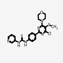 CSc1c(Cl)nc(-c2ccc(NC(=S)Nc3cccnc3)cc2)nc1N1CCOCC1